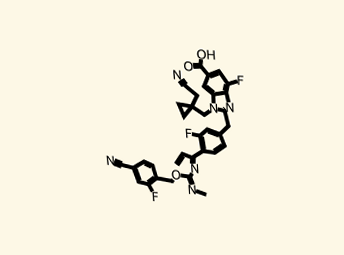 C=C/C(=N\C(=N/C)OCc1ccc(C#N)cc1F)c1ccc(Cc2nc3c(F)cc(C(=O)O)cc3n2CC2(CC#N)CC2)cc1F